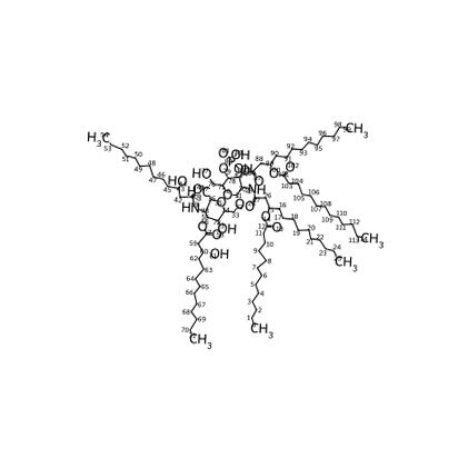 CCCCCCCCCCCCC(=O)O[C@H](CCCCCCCCCC)CC(=O)NC1[C@H](OCC2OC(C)C(NC(=O)C[C@H](O)CCCCCCCCCC)[C@@H](OC(=O)C[C@H](O)CCCCCCCCCC)[C@@H]2O)OC(CO)[C@@H](OP(=O)(O)O)[C@@H]1OC(=O)C[C@@H](CCCCCCCCCC)OC(=O)CCCCCCCCCCCC